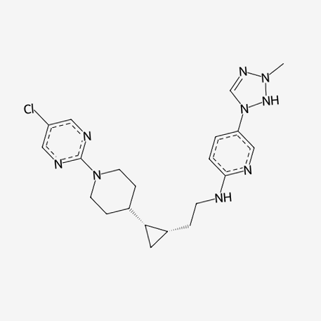 CN1N=CN(c2ccc(NCC[C@@H]3C[C@@H]3C3CCN(c4ncc(Cl)cn4)CC3)nc2)N1